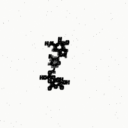 Nc1nc2c(ccn2[C@@H]2O[C@H](COP(=O)(O)OP(=O)(O)OP(=O)(O)O)C[C@@H]2F)c(=O)[nH]1